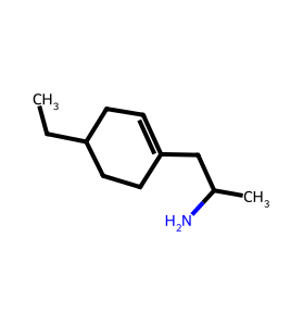 CCC1CC=C(CC(C)N)CC1